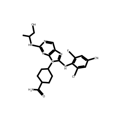 CC(CO)Nc1ncc2nc(Nc3c(F)cc(C#N)cc3Cl)n(C3CCC(C(N)=O)CC3)c2n1